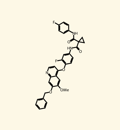 COc1cc2c(Oc3ccc(NC(=O)C4(C(=O)Nc5ccc(F)cc5)CC4)cc3F)ccnc2cc1OCc1ccccc1